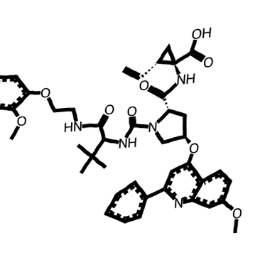 C=C[C@@H]1C[C@]1(NC(=O)[C@@H]1C[C@@H](Oc2cc(-c3ccccc3)nc3cc(OC)ccc23)CN1C(=O)NC(C(=O)NCCOc1ccccc1OC)C(C)(C)C)C(=O)O